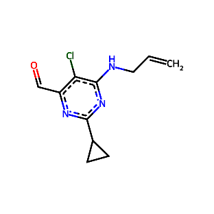 C=CCNc1nc(C2CC2)nc(C=O)c1Cl